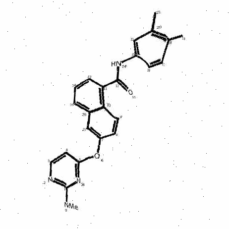 CNc1nccc(Oc2ccc3c(C(=O)Nc4ccc(C)c(C)c4)cccc3c2)n1